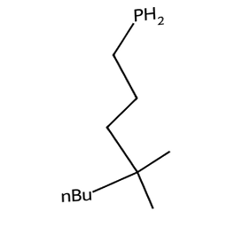 CCCCC(C)(C)CCCP